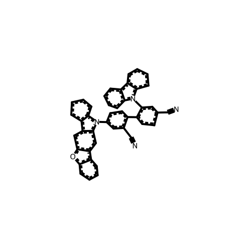 N#Cc1ccc(-c2ccc(-n3c4ccccc4c4cc5oc6ccccc6c5cc43)cc2C#N)c(-n2c3ccccc3c3ccccc32)c1